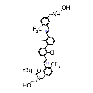 Cc1c(/C=C/c2cc(CNCCO)ccc2C(F)(F)F)cccc1-c1cccc(/C=C/c2cc(CN(CCO)C(=O)CC(C)(C)C)ccc2C(F)(F)F)c1Cl